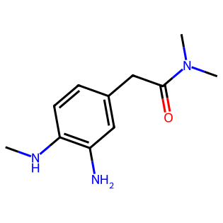 CNc1ccc(CC(=O)N(C)C)cc1N